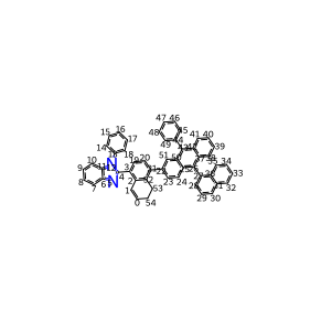 C1=Cc2c(-c3nc4ccccc4n3-c3ccccc3)ccc(-c3ccc4c(-c5cccc6ccccc56)c5ccccc5c(-c5ccccc5)c4c3)c2CC1